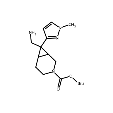 Cn1ccc(C2(CN)C3CCN(C(=O)OC(C)(C)C)CC32)n1